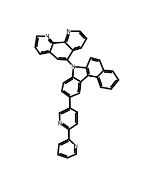 c1ccc(-c2ccc(-c3ccc4c(c3)c3c5ccccc5ccc3n4-c3cc4cccnc4c4ncccc34)cn2)nc1